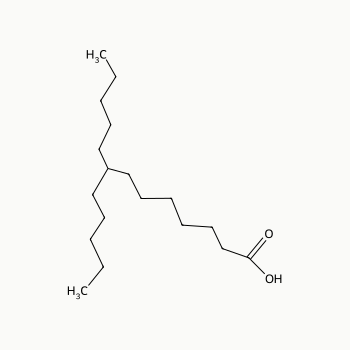 CCCCCC(CCCCC)CCCCCCC(=O)O